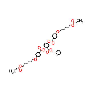 C=CC(=O)OCCCCCCOc1ccc(C(=O)Oc2ccc(OC(=O)c3ccc(OCCCCCCOC(=O)C=C)cc3)c(C(=O)OCc3ccccc3)c2)cc1